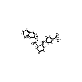 O=C(Nc1ccc2cccnc2c1)c1ccccc1Nc1ccc([N+](=O)[O-])cc1